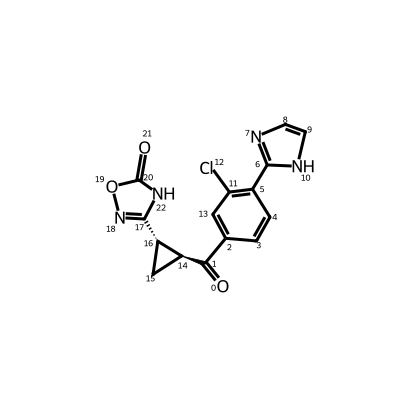 O=C(c1ccc(-c2ncc[nH]2)c(Cl)c1)[C@H]1C[C@@H]1c1noc(=O)[nH]1